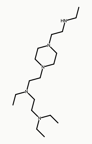 CCNCCN1CCN(CCN(CC)CCN(CC)CC)CC1